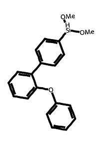 CO[SiH](OC)c1ccc(-c2ccccc2Oc2ccccc2)cc1